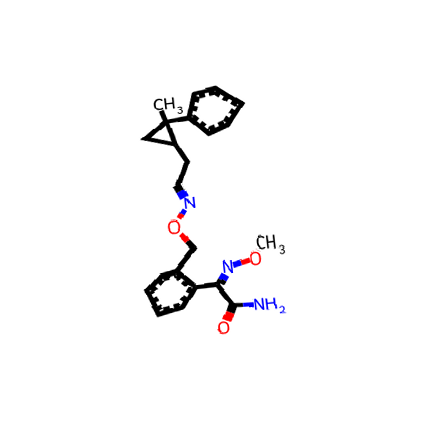 CON=C(C(N)=O)c1ccccc1CON=CCC1CC1(C)c1ccccc1